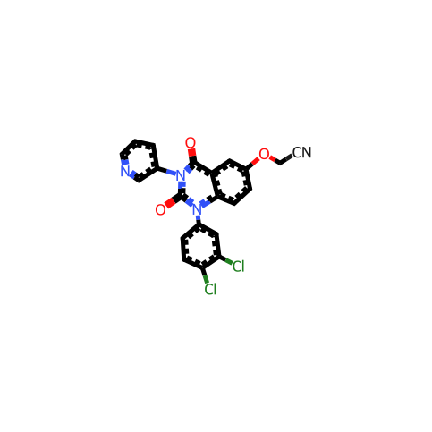 N#CCOc1ccc2c(c1)c(=O)n(-c1cccnc1)c(=O)n2-c1ccc(Cl)c(Cl)c1